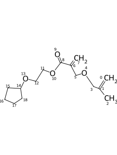 C=C(C)COCC(=C)C(=O)OCCOC1CCCC1